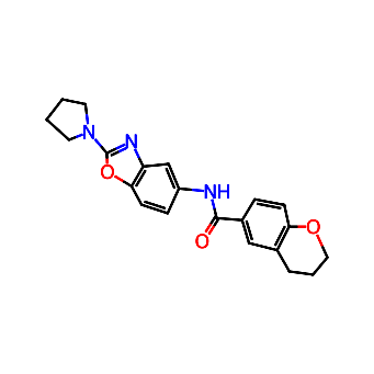 O=C(Nc1ccc2oc(N3CCCC3)nc2c1)c1ccc2c(c1)CCCO2